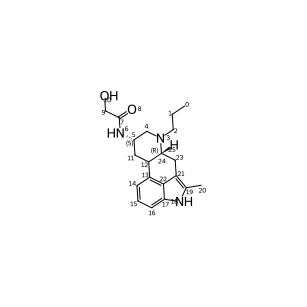 CCCN1C[C@@H](NC(=O)CO)CC2c3cccc4[nH]c(C)c(c34)C[C@H]21